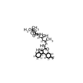 C[C@H](CNC(=O)c1[nH]c2ccccc2c1-c1ccc(F)cc1)CC(O)CNC(=O)OC(C)(C)C